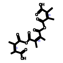 C/C(C(=O)O)=C(\C)C(=O)OC(=O)/C(C)=C(/C)C(=O)OC(=O)/C(C)=C(/C)C(=O)O